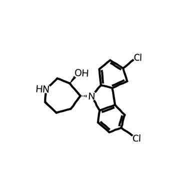 O[C@@H]1CNCCC[C@H]1n1c2ccc(Cl)cc2c2cc(Cl)ccc21